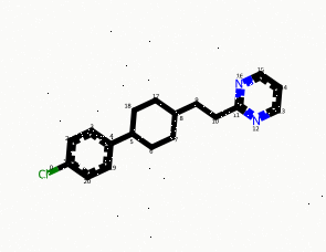 Clc1ccc(C2CCC(CCc3ncccn3)CC2)cc1